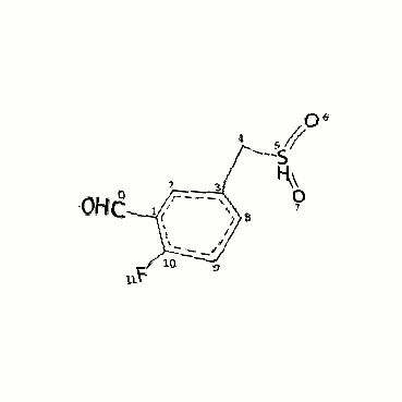 O=[C]c1cc(C[SH](=O)=O)ccc1F